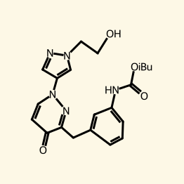 CC(C)COC(=O)Nc1cccc(Cc2nn(-c3cnn(CCO)c3)ccc2=O)c1